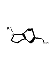 N[C@H]1CCc2cc(OC=O)ccc21